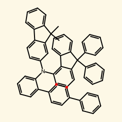 CC1(C)c2ccccc2-c2ccc(N(c3ccccc3-c3ccc(-c4ccccc4)cc3)c3cccc4c3-c3ccccc3C4(c3ccccc3)c3ccccc3)cc21